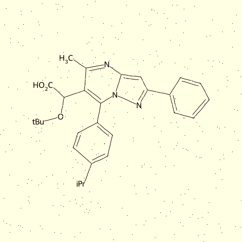 Cc1nc2cc(-c3ccccc3)nn2c(-c2ccc(C(C)C)cc2)c1C(OC(C)(C)C)C(=O)O